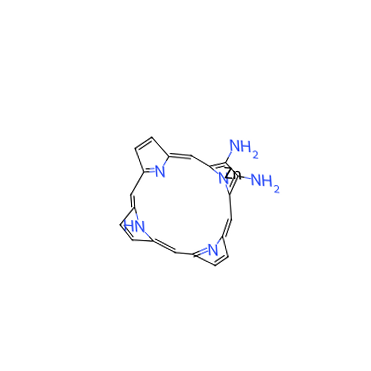 Nc1c(N)c2cc3nc(cc4ccc(cc5nc(cc1[n]2[Zn])C=C5)[nH]4)C=C3